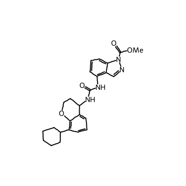 COC(=O)n1ncc2c(NC(=O)NC3CCOc4c(C5CCCCC5)cccc43)cccc21